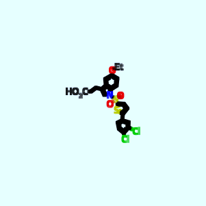 CCOc1ccc2c(c1)c(CCC(=O)O)cn2S(=O)(=O)c1ccc(-c2ccc(Cl)c(Cl)c2)s1